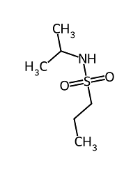 CCCS(=O)(=O)NC(C)C